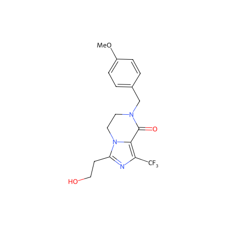 COc1ccc(CN2CCn3c(CCO)nc(C(F)(F)F)c3C2=O)cc1